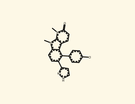 Cn1c(=O)ccc2c3c(-c4ccc(Cl)cc4)c(-c4cc[nH]n4)ccc3n(C)c21